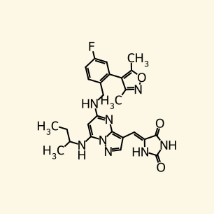 CCC(C)Nc1cc(NCc2ccc(F)cc2-c2c(C)noc2C)nc2c(/C=C3\NC(=O)NC3=O)cnn12